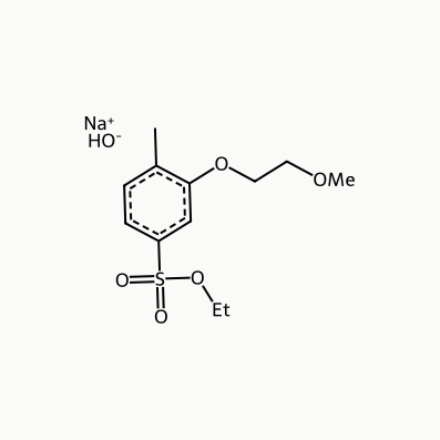 CCOS(=O)(=O)c1ccc(C)c(OCCOC)c1.[Na+].[OH-]